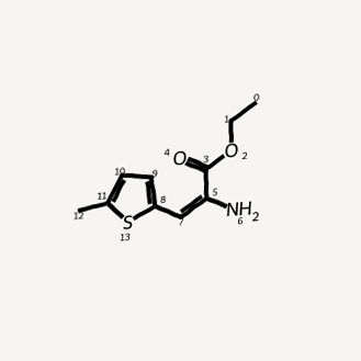 CCOC(=O)/C(N)=C\c1ccc(C)s1